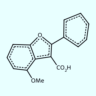 COc1cccc2oc(-c3ccccc3)c(C(=O)O)c12